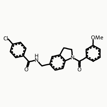 COc1cccc(C(=O)N2CCc3cc(CNC(=O)c4ccc(Cl)cc4)ccc32)c1